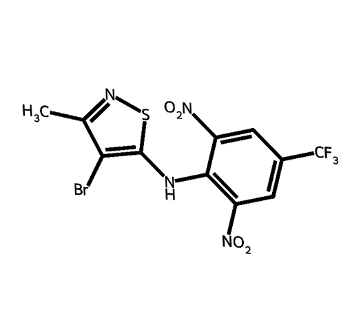 Cc1nsc(Nc2c([N+](=O)[O-])cc(C(F)(F)F)cc2[N+](=O)[O-])c1Br